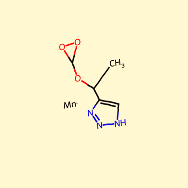 CC(OC1OO1)c1c[nH]nn1.[Mn]